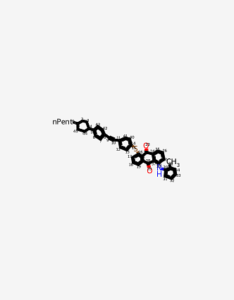 CCCCCC1CCC(c2ccc(C#Cc3ccc(Sc4cccc5c4C(=O)c4cccc(Nc6ccccc6C)c4C5=O)cc3)cc2)CC1